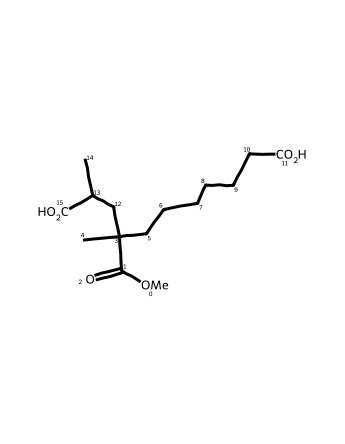 COC(=O)C(C)(CCCCCCC(=O)O)CC(C)C(=O)O